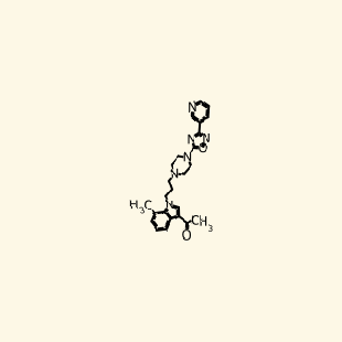 CC(=O)c1cn(CCCN2CCN(c3nc(-c4cccnc4)no3)CC2)c2c(C)cccc12